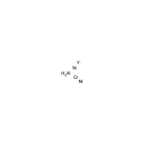 [AlH3].[Cr].[Ni].[Ni].[Y]